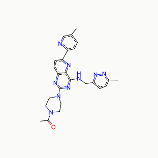 CC(=O)N1CCN(c2nc(NCc3ccc(C)nn3)c3nc(-c4ccc(C)cn4)ccc3n2)CC1